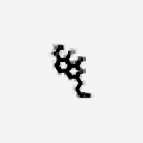 CCCCCCCCCCCCc1cc2ccc(OCC)c(F)c2c(=O)o1